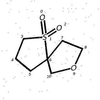 O=S1(=O)CCCC12CCOC2